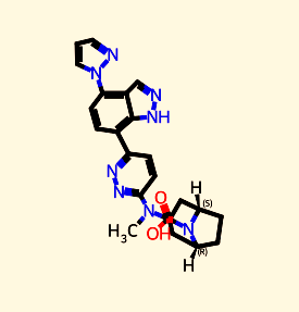 CN(c1ccc(-c2ccc(-n3cccn3)c3cn[nH]c23)nn1)C1C[C@H]2CC[C@@H](C1)N2C(=O)O